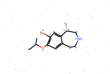 CC(C)Oc1cc2c(cc1Br)[C@H](C)CNCC2